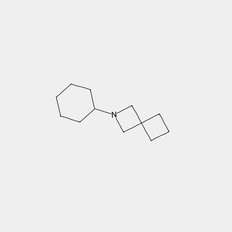 C1CCC(N2CC3(CCC3)C2)CC1